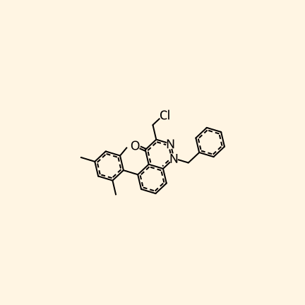 Cc1cc(C)c(-c2cccc3c2c(=O)c(CCl)nn3Cc2ccccc2)c(C)c1